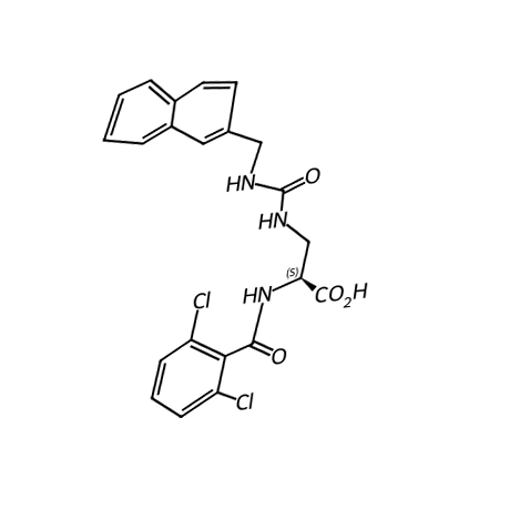 O=C(NCc1ccc2ccccc2c1)NC[C@H](NC(=O)c1c(Cl)cccc1Cl)C(=O)O